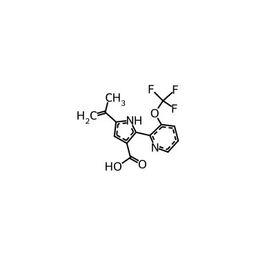 C=C(C)c1cc(C(=O)O)c(-c2ncccc2OC(F)(F)F)[nH]1